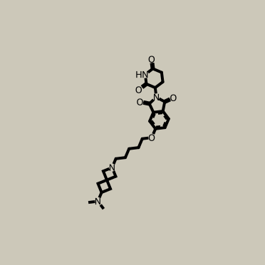 CN(C)C1CC2(C1)CN(CCCCCOc1ccc3c(c1)C(=O)N(C1CCC(=O)NC1=O)C3=O)C2